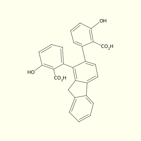 O=C(O)c1c(O)cccc1-c1ccc2c(c1-c1cccc(O)c1C(=O)O)Cc1ccccc1-2